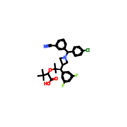 CC(C)(C)C(OC(C)(C)[C@H](c1cc(F)cc(F)c1)C1CN(C(c2ccc(Cl)cc2)c2cccc(C#N)c2)C1)C(=O)O